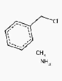 C.ClCc1ccccc1.N